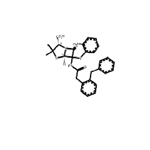 CC1(C)S[C@H]2N(C(=O)C2(NC(=O)Cc2ccccc2Cc2ccccc2)Sc2ccccc2[N+](=O)[O-])[C@H]1C(=O)O